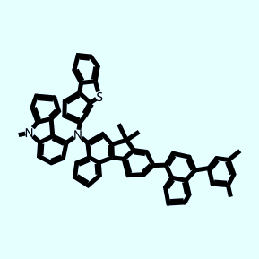 Cc1cc(C)cc(-c2ccc(-c3ccc4c(c3)C(C)(C)c3cc(N(c5ccc6c(c5)sc5ccccc56)c5cccc6c5c5ccccc5n6C)c5ccccc5c3-4)c3ccccc23)c1